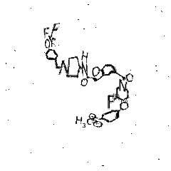 CS(=O)(=O)c1ccc(O[C@H]2CCN(C(=O)c3ccc4oc(C(=O)NC5CCN(Cc6ccc(OC(F)(F)F)cc6)CC5)cc4c3)C[C@@H]2F)cc1